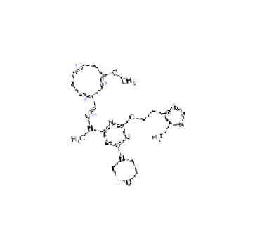 CO/C1=C/C(/C=N/N(C)c2cc(N3CCOCC3)nc(OCCc3scnc3C)n2)=C\C/C=C\C1